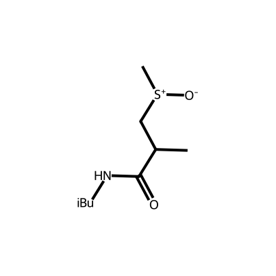 CCC(C)NC(=O)C(C)C[S+](C)[O-]